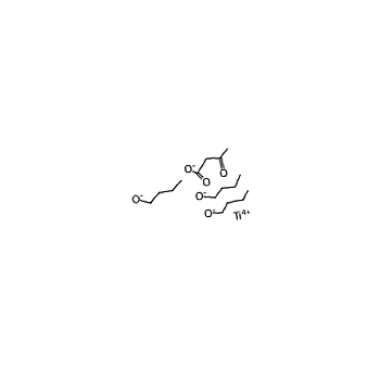 CC(=O)CC(=O)[O-].CCCC[O-].CCCC[O-].CCCC[O-].[Ti+4]